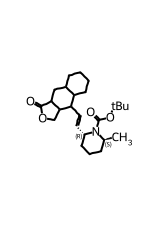 C[C@H]1CCC[C@H](C=CC2C3CCCCC3CC3C(=O)OCC32)N1C(=O)OC(C)(C)C